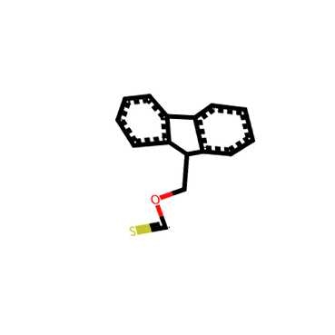 S=[C]OCC1c2ccccc2-c2ccccc21